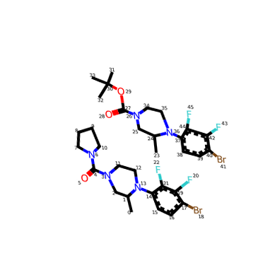 CC1CN(C(=O)N2CCCC2)CCN1c1ccc(Br)c(F)c1F.CC1CN(C(=O)OC(C)(C)C)CCN1c1ccc(Br)c(F)c1F